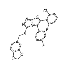 Fc1ccc(-c2c(-c3c(F)cccc3Cl)sc3nnc(SCc4ccc5c(c4)OCO5)n23)cc1